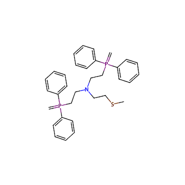 C=P(CCN(CCSC)CCP(=C)(c1ccccc1)c1ccccc1)(c1ccccc1)c1ccccc1